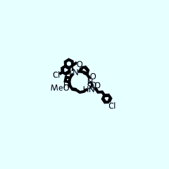 CO[C@H]1/C=C/CCC[S@@](=O)(NC(=O)CCc2ccc(Cl)cc2)=NC(=O)c2ccc3c(c2)N(C[C@@H]2CC[C@H]21)C[C@@]1(CCCc2cc(Cl)ccc21)CO3